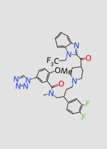 COc1ccc(-n2cnnn2)cc1C(=O)N(C)CC(CCN1CCC(C(=O)c2nc3ccccc3n2CC(F)(F)F)CC1)c1ccc(F)c(F)c1